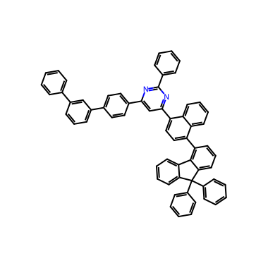 c1ccc(-c2cccc(-c3ccc(-c4cc(-c5ccc(-c6cccc7c6-c6ccccc6C7(c6ccccc6)c6ccccc6)c6ccccc56)nc(-c5ccccc5)n4)cc3)c2)cc1